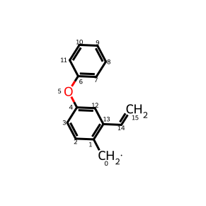 [CH2]c1ccc(Oc2ccccc2)cc1C=C